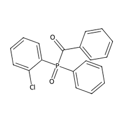 O=C(c1ccccc1)P(=O)(c1ccccc1)c1ccccc1Cl